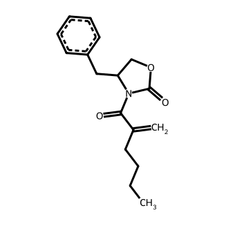 C=C(CCCC)C(=O)N1C(=O)OCC1Cc1ccccc1